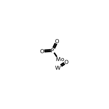 O=[P](=O)[Mo].[O]=[W]